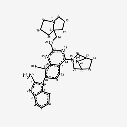 Nc1nc2ccccc2n1-c1ccc2c(N3CC4CCC(C3)N4)nc(OCC34CCCN3CCC4)nc2c1F